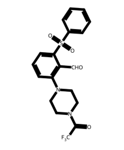 O=Cc1c(N2CCN(C(=O)C(F)(F)F)CC2)cccc1S(=O)(=O)c1ccccc1